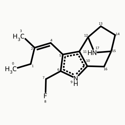 CC/C(C)=C\c1c(CF)[nH]c2c1C1CCC(C2)N1